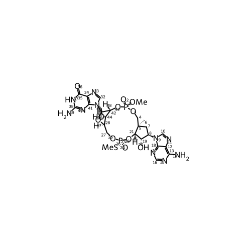 CO[P@]1(=O)OC[C@@]2(C)C[C@@H](n3cnc4c(N)ncnc43)[C@H](O)[C@@H]2O[P@](=O)(SC)OC[C@H]2O[C@@H](n3cnc4c(=O)[nH]c(N)nc43)[C@H](O1)[C@@H]2O